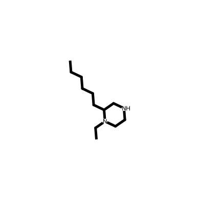 CCCCCCC1CNCCN1CC